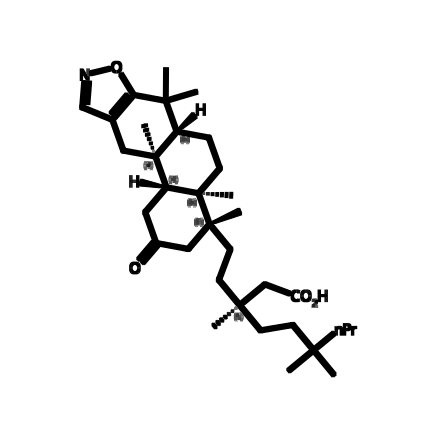 CCCC(C)(C)CC[C@@](C)(CC[C@]1(C)CC(=O)C[C@@H]2[C@@]3(C)Cc4cnoc4C(C)(C)[C@@H]3CC[C@]21C)CC(=O)O